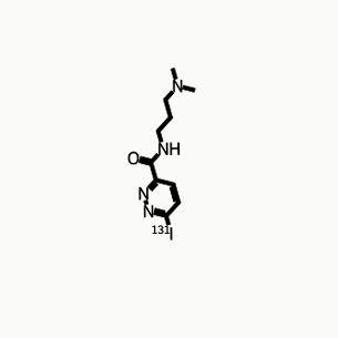 CN(C)CCCNC(=O)c1ccc([131I])nn1